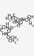 Cc1ccc(Nc2ccc(OCCCCOc3ccc(Nc4ccc(C)c(C)c4)cc3Nc3ccc(C)c(C)c3)c(Nc3ccc(C)c(C)c3)c2)cc1C